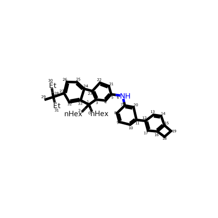 CCCCCCC1(CCCCCC)c2cc(Nc3cccc(-c4ccc5c(c4)CC5)c3)ccc2-c2ccc(C(C)(CC)CC)cc21